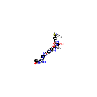 Cc1ncsc1-c1ccc(CNC(=O)[C@@H]2C[C@H](O)CN2C(=O)[C@@H](NC(=O)[C@H]2CC[C@@H](N3CCC(c4cnc(C56CC7CN(c8cc(-c9ccccc9O)nnc8N)CC(C5)N76)nc4)CC3)CC2)C(C)(C)C)cc1